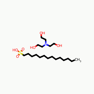 CCCCCCCCCCCCCCS(=O)(=O)O.OCCN(CCO)CCO